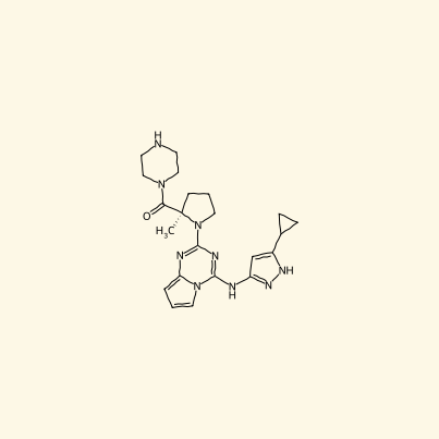 C[C@]1(C(=O)N2CCNCC2)CCCN1c1nc(Nc2cc(C3CC3)[nH]n2)n2cccc2n1